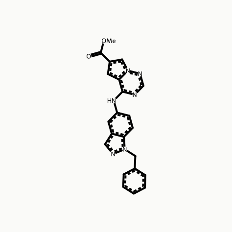 COC(=O)c1cc2c(Nc3ccc4c(cnn4Cc4ccccc4)c3)ncnn2c1